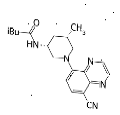 CCC(C)C(=O)N[C@@H]1C[C@H](C)CN(c2ccc(C#N)c3nccnc23)C1